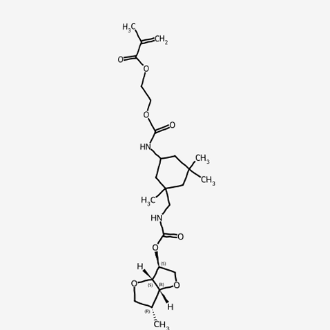 C=C(C)C(=O)OCCOC(=O)NC1CC(C)(C)CC(C)(CNC(=O)O[C@H]2CO[C@H]3[C@@H]2OC[C@H]3C)C1